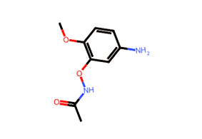 COc1ccc(N)cc1ONC(C)=O